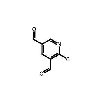 O=Cc1cnc(Cl)c(C=O)c1